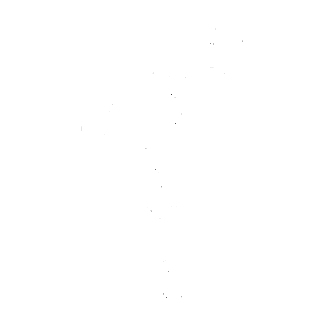 CN(CCCN(CCN1C(=O)c2cccc3c(-n4ccnc4)ccc(c23)C1=O)C(=O)CCCC(=O)OC(C)(C)C)CCN1C(=O)c2cccc3c(-n4ccnc4)ccc(c23)C1=O